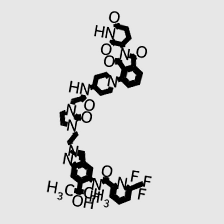 CC(C)(O)c1cc2nn(CCN3CCN(CC(=O)NC4CCN(c5cccc6c5C(=O)N(C5CCC(=O)NC5=O)C6=O)CC4)C3=O)cc2cc1NC(=O)c1cccc(C(F)(F)F)n1